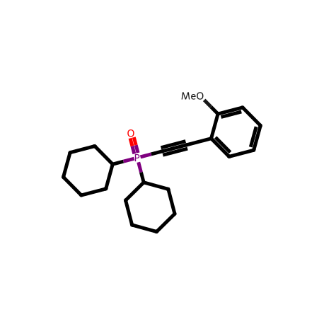 COc1ccccc1C#CP(=O)(C1CCCCC1)C1CCCCC1